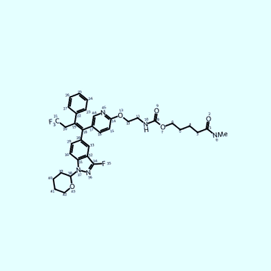 CNC(=O)CCCCOC(=O)NCCOc1ccc(/C(=C(/CC(F)(F)F)c2ccccc2)c2ccc3c(c2)c(F)nn3C2CCCCO2)cn1